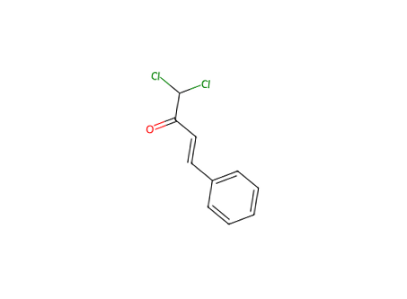 O=C(C=Cc1ccccc1)C(Cl)Cl